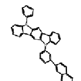 c1ccc(-n2c3ccccc3c3cc4c(cc32)c2ccccc2n4-c2cccc(-c3ccc4ccccc4c3)c2)cc1